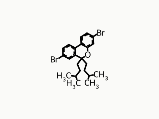 CC(C)CCC1(CCC(C)C)Oc2cc(Br)ccc2-c2ccc(Br)cc21